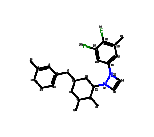 CC1=CC(CC2CC(C)C(C)C(n3ccn3-c3cc(C)c(F)c(F)c3)C2)=CCC1